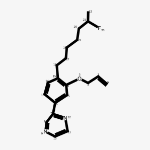 C=CCOc1cc(-c2cnccn2)ccc1CCCCCC(C)F